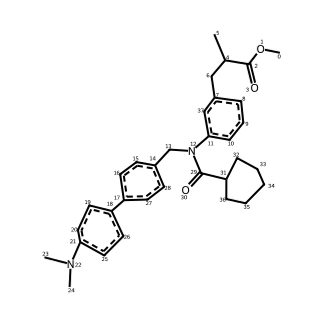 COC(=O)C(C)Cc1cccc(N(Cc2ccc(-c3ccc(N(C)C)cc3)cc2)C(=O)C2CCCCC2)c1